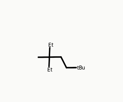 [CH2]C(C)(C)CCC(C)(CC)CC